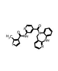 Cc1sccc1C(=O)Nc1cc(C(=O)N2Cc3cccnc3Nc3ccccc32)ccn1